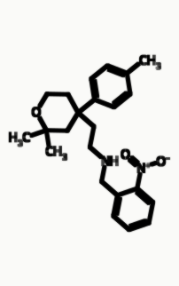 Cc1ccc(C2(CCNCc3ccccc3[N+](=O)[O-])CCOC(C)(C)C2)cc1